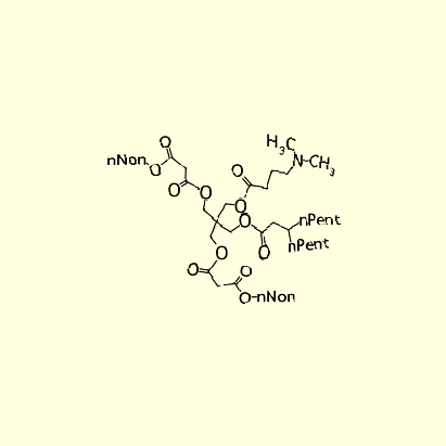 CCCCCCCCCOC(=O)CC(=O)OCC(COC(=O)CCCN(C)C)(COC(=O)CC(=O)OCCCCCCCCC)COC(=O)CC(CCCCC)CCCCC